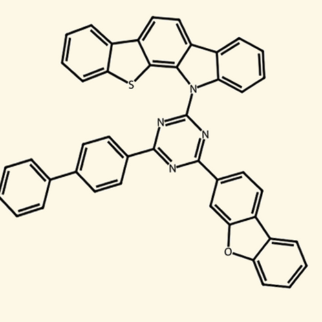 c1ccc(-c2ccc(-c3nc(-c4ccc5c(c4)oc4ccccc45)nc(-n4c5ccccc5c5ccc6c7ccccc7sc6c54)n3)cc2)cc1